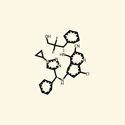 N#Cc1cnc2c(Cl)cc(N[C@@H](c3ccccc3)c3cn(C4CC4)nn3)cc2c1N[C@@H](c1ccccc1)C(F)(F)CO